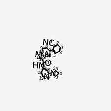 N#Cc1ccccc1-c1ccc2ncc(C(=O)Nc3ccnc(N4CCC4)c3)n2n1